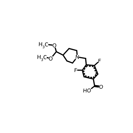 COC(OC)C1CCN(Cc2c(F)cc(C(=O)O)cc2F)CC1